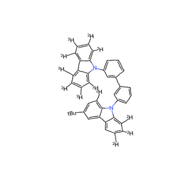 [2H]c1cc2c3cc(C(C)(C)C)cc([2H])c3n(-c3cccc(-c4cccc(-n5c6c([2H])c([2H])c([2H])c([2H])c6c6c([2H])c([2H])c([2H])c([2H])c65)c4)c3)c2c([2H])c1[2H]